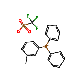 Cc1cccc([S+](c2ccccc2)c2ccccc2)c1.O=S(=O)([O-])C(F)(F)F